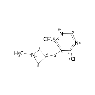 CN1CC(Cc2c(Cl)ncnc2Cl)C1